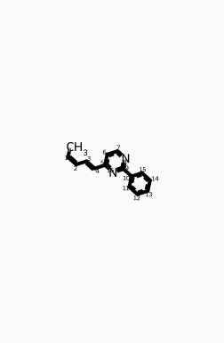 C/C=C\C=C\c1ccnc(-c2ccccc2)n1